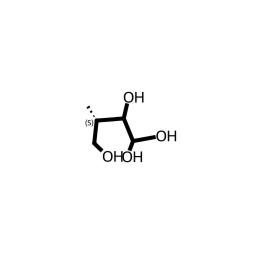 C[C@@H](CO)C(O)C(O)O